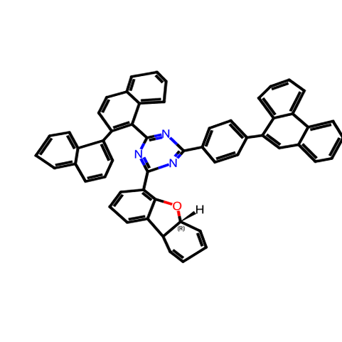 C1=CC2c3cccc(-c4nc(-c5ccc(-c6cc7ccccc7c7ccccc67)cc5)nc(-c5c(-c6cccc7ccccc67)ccc6ccccc56)n4)c3O[C@@H]2C=C1